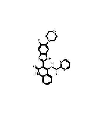 C[C@H](Nc1c(-c2nc3cc(F)c(N4CCOCC4)cc3[nH]2)c(=O)[nH]c2ccccc12)c1ncccn1